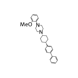 COc1ccccc1N1CCN([C@H]2CC[C@H](c3ccc(-c4ccccc4)cc3)CC2)CC1